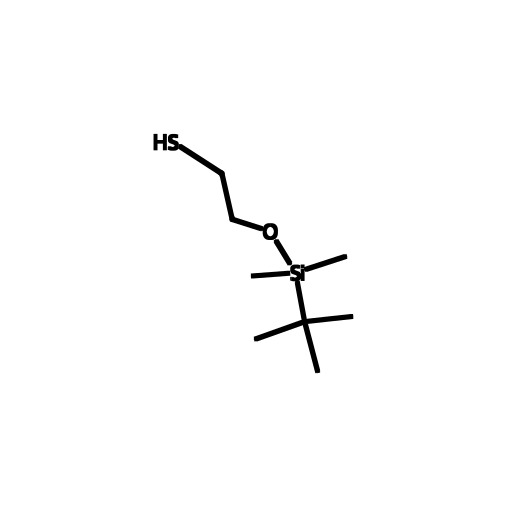 CC(C)(C)[Si](C)(C)OCCS